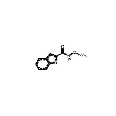 O=C(NOP)c1cc2ccccc2s1